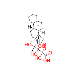 C[C@]12CC[C@H]3[C@@H](CCC4CCCC[C@@]43C)[C@@H]1CC[C@@H]2[C@@](C)(O)C(O)(O)C(O)(O)C(=O)O